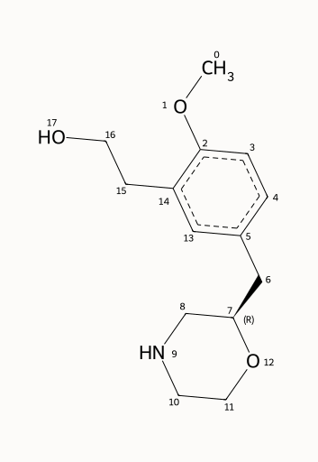 COc1ccc(C[C@@H]2CNCCO2)cc1CCO